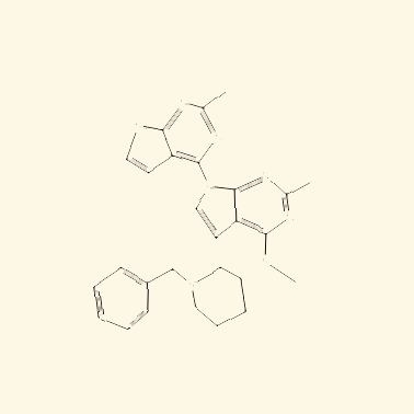 C[C@@H]1CCN(Cc2ccccc2)C[C@@H]1N(C)c1nc(Cl)nc2c1ccn2-c1nc(Cl)nc2[nH]ccc12